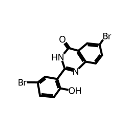 O=c1[nH]c(-c2cc(Br)ccc2O)nc2ccc(Br)cc12